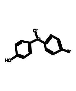 [O-][S+](c1ccc(O)cc1)c1ccc(Br)cc1